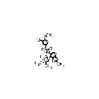 COc1ncc(NC(=O)Nc2cnc3sc(C)nc3c2N(C)CC(C)OC)cc1Cl